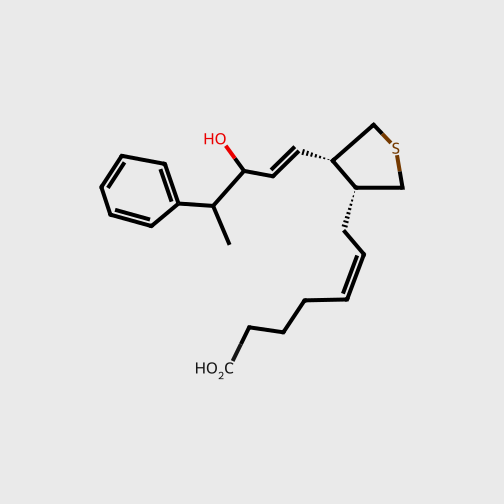 CC(c1ccccc1)C(O)/C=C/[C@@H]1CSC[C@@H]1C/C=C\CCCC(=O)O